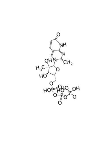 C=C1N=c2[nH]c(=O)ccc2=CN1C1O[C@H](COP(=O)(O)OP(=O)(O)OP(=O)(O)O)[C@@H](O)[C@@]1(C)O